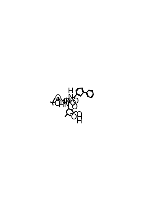 CC(C)CC(NC(=O)[C@H](CNC(=O)OC(C)(C)C)NC(=O)c1cccc(-c2ccccc2)c1)C(=O)C(C)(O)CO